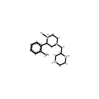 CC(C)c1ccccc1C1CN(CC2COCCO2)CCN1I